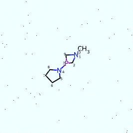 CN1CP(N2CCCC2)C1